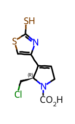 O=C(O)N1CC=C(c2csc(S)n2)[C@@H]1CCl